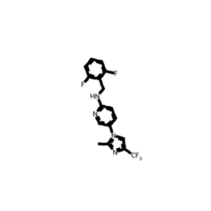 Cc1nc(C(F)(F)F)cn1-c1ccc(NCc2c(F)cccc2F)nc1